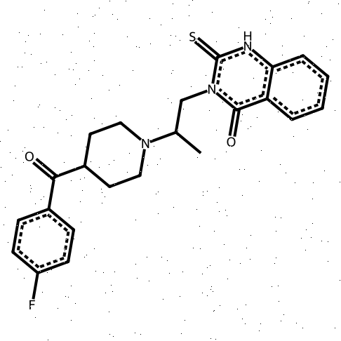 CC(Cn1c(=S)[nH]c2ccccc2c1=O)N1CCC(C(=O)c2ccc(F)cc2)CC1